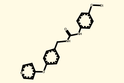 CCOc1ccc(NC(=O)NCc2ccc(Oc3ccncc3)cc2)cc1